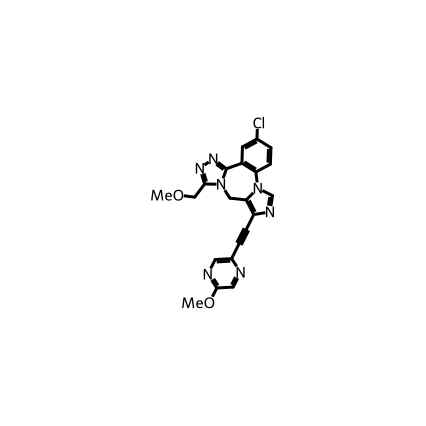 COCc1nnc2n1Cc1c(C#Cc3cnc(OC)cn3)ncn1-c1ccc(Cl)cc1-2